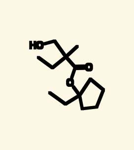 CCC1(OC(=O)C(C)(CC)CO)CCCC1